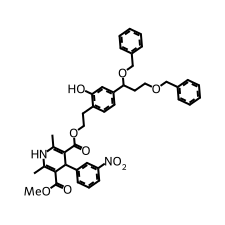 COC(=O)C1=C(C)NC(C)=C(C(=O)OCCc2ccc(C(CCOCc3ccccc3)OCc3ccccc3)cc2O)C1c1cccc([N+](=O)[O-])c1